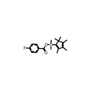 CC1=C(C)C(C)(C)[C]([Ti]([CH3])([CH3])[O]C(=O)c2ccc(F)cc2)=C1C